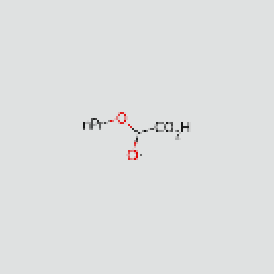 CCCOC([O])C(=O)O